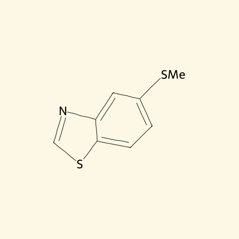 CSc1ccc2scnc2c1